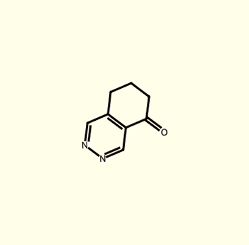 O=C1CCCc2cnncc21